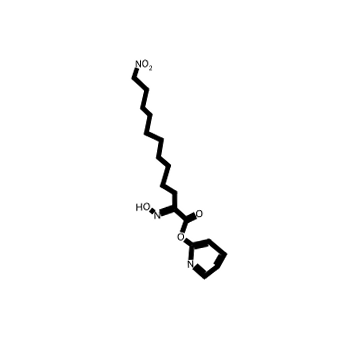 O=C(Oc1ccccn1)C(CCCCCCCCCC[N+](=O)[O-])=NO